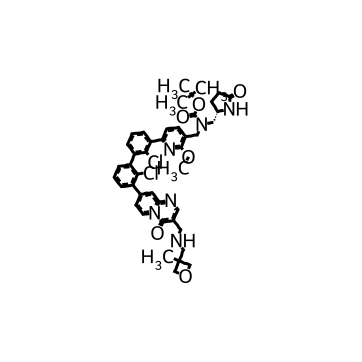 COc1nc(-c2cccc(-c3cccc(-c4ccn5c(=O)c(CNCC6(C)COC6)cnc5c4)c3Cl)c2Cl)ccc1CN(C[C@@H]1CCC(=O)N1)C(=O)OC(C)(C)C